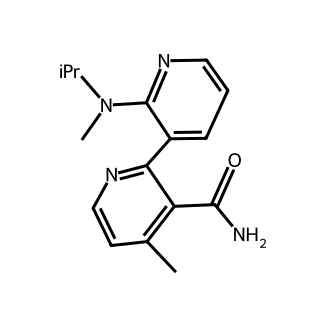 Cc1ccnc(-c2cccnc2N(C)C(C)C)c1C(N)=O